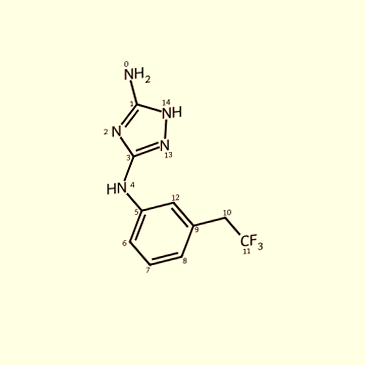 Nc1nc(Nc2cccc(CC(F)(F)F)c2)n[nH]1